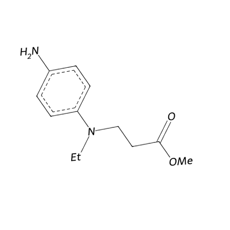 CCN(CCC(=O)OC)c1ccc(N)cc1